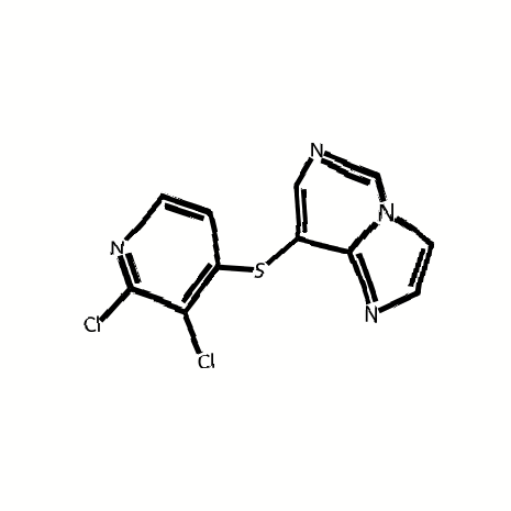 Clc1nccc(Sc2cncn3ccnc23)c1Cl